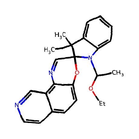 CCOC(C)N1c2ccccc2C(C)(C)C12C=Nc1c(ccc3ccncc13)O2